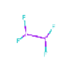 FI(F)I(F)F